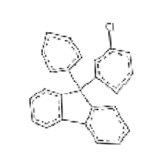 Clc1cccc(C2(c3ccccc3)c3ccccc3-c3ccccc32)c1